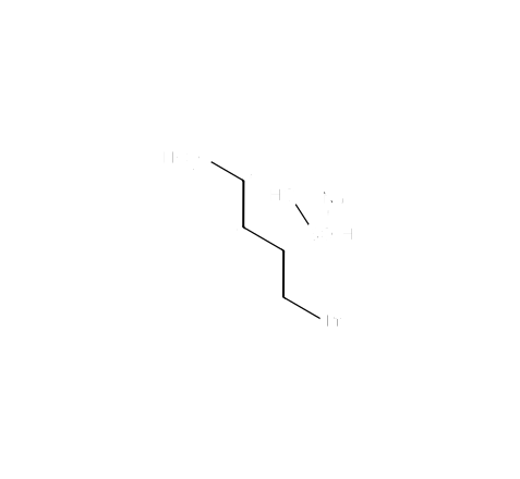 CC(C)CCCCC(=O)O.O=S(=O)(O)O.[NaH]